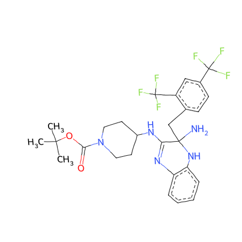 CC(C)(C)OC(=O)N1CCC(NC2=Nc3ccccc3NC2(N)Cc2ccc(C(F)(F)F)cc2C(F)(F)F)CC1